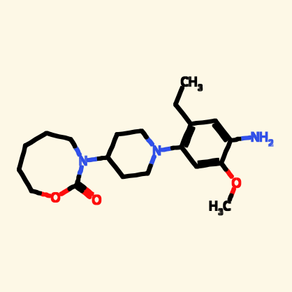 CCc1cc(N)c(OC)cc1N1CCC(N2CCCCCOC2=O)CC1